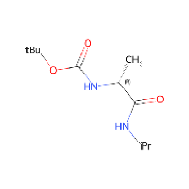 CC(C)NC(=O)[C@@H](C)NC(=O)OC(C)(C)C